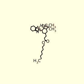 CCCCCCCCOC(=O)CCC1CC(n2nc3c(n2)CCCC3)C(O)C(C(C)(C)C)C1